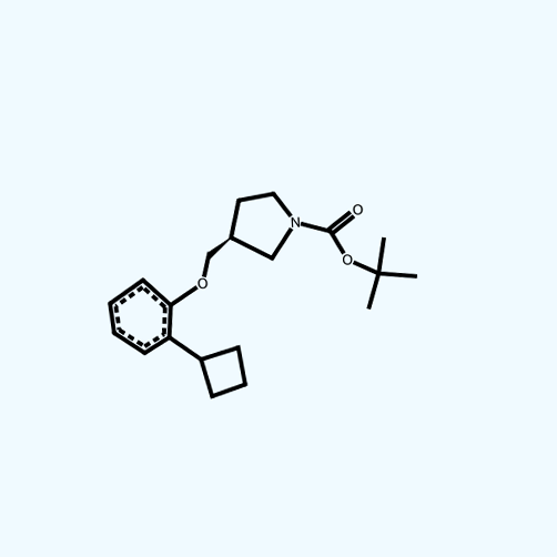 CC(C)(C)OC(=O)N1CC[C@H](COc2ccccc2C2CCC2)C1